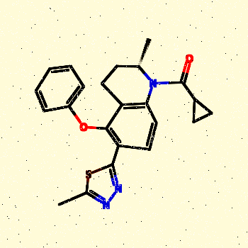 Cc1nnc(-c2ccc3c(c2Oc2ccccc2)CC[C@H](C)N3C(=O)C2CC2)s1